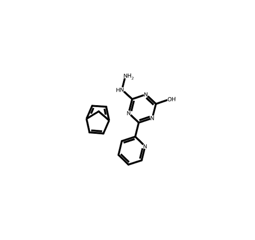 C1=CC2=CC=C1C2.NNc1nc(O)nc(-c2ccccn2)n1